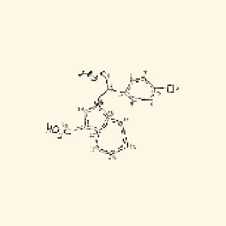 CC(c1ccc(Cl)cc1)n1cc(C(=O)O)c2ccccc21